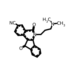 CN(C)CCCn1c2c(c3ccc(C#N)cc3c1=O)C(=O)c1ccccc1-2